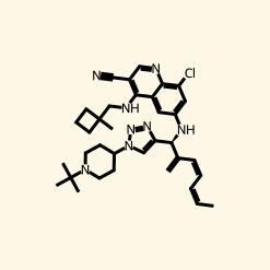 C=C(/C=C\C=C/C)[C@H](Nc1cc(Cl)c2ncc(C#N)c(NCC3(C)CCC3)c2c1)c1cn(C2CCN(C(C)(C)C)CC2)nn1